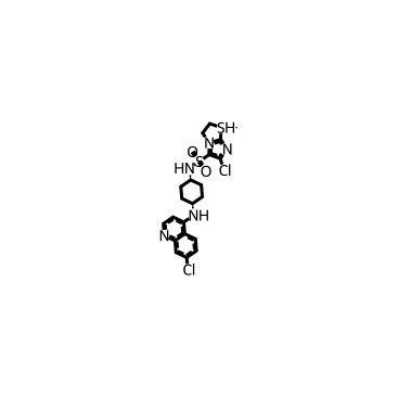 O=S(=O)(N[C@H]1CC[C@@H](Nc2ccnc3cc(Cl)ccc23)CC1)c1c(Cl)nc2n1CC[SH]2